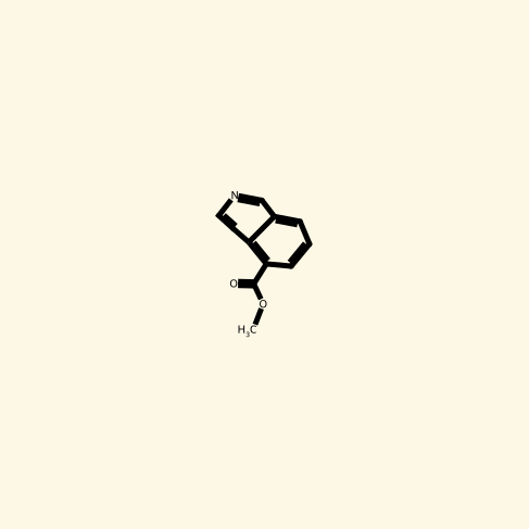 COC(=O)c1cccc2cnccc12